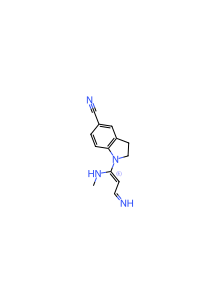 CN/C(=C\C=N)N1CCc2cc(C#N)ccc21